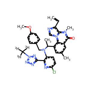 [2H]C([2H])([2H])n1nnc(-c2nc(Cl)ccc2N(Cc2ccc(OC)cc2)C(C)c2cc(C)cc3c(=O)n(C)c4c(C=C)ncn4c23)n1